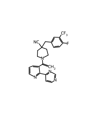 C=C(c1cccnc1-c1ccncn1)N1CCC(C#N)(Cc2ccc(F)c(C(F)(F)F)c2)CC1